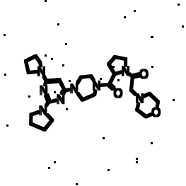 O=C(C1CCCN1C(=O)CN1CCOCC1)N1CCN(c2cc(N3CCCC3)nc(N3CCCC3)n2)CC1